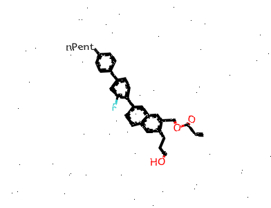 C=CC(=O)OCc1cc2cc(-c3ccc(-c4ccc(CCCCC)cc4)cc3F)ccc2cc1CCCO